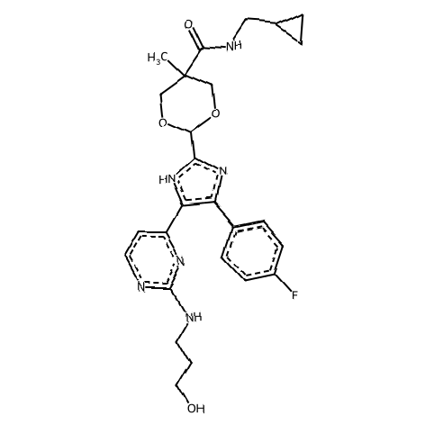 CC1(C(=O)NCC2CC2)COC(c2nc(-c3ccc(F)cc3)c(-c3ccnc(NCCCO)n3)[nH]2)OC1